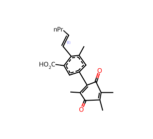 CCC/C=C/c1c(C)cc(C2=C(C)C(=O)C(C)=C(C)C2=O)cc1C(=O)O